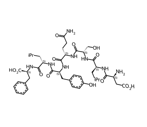 CC(C)C[C@H](NC(=O)[C@H](Cc1ccc(O)cc1)NC(=O)[C@H](CCC(N)=O)NC(=O)[C@H](CO)NC(=O)[C@H](CC(C)C)NC(=O)[C@@H](N)CC(=O)O)C(=O)N[C@@H](Cc1ccccc1)C(=O)O